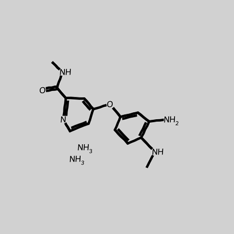 CNC(=O)c1cc(Oc2ccc(NC)c(N)c2)ccn1.N.N